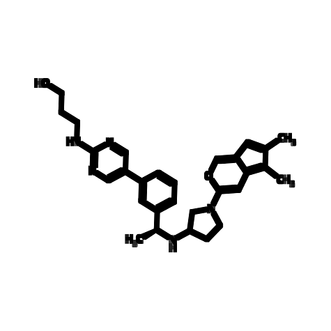 Cc1cc2coc(N3CCC(N[C@@H](C)c4cccc(-c5cnc(NCCCO)nc5)c4)C3)cc-2c1C